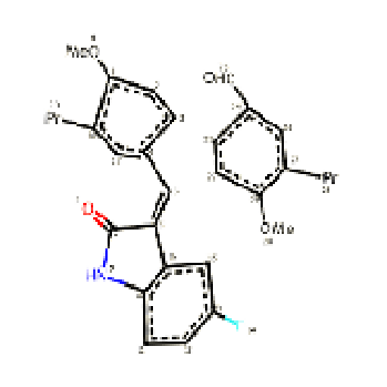 COc1ccc(C=C2C(=O)Nc3ccc(F)cc32)cc1C(C)C.COc1ccc(C=O)cc1C(C)C